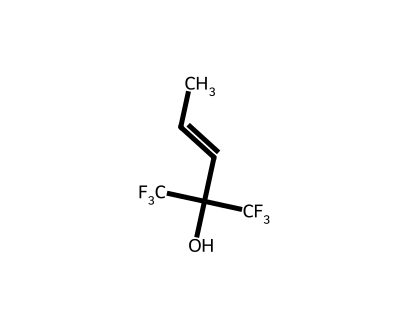 CC=CC(O)(C(F)(F)F)C(F)(F)F